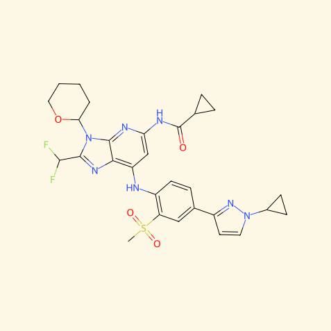 CS(=O)(=O)c1cc(-c2ccn(C3CC3)n2)ccc1Nc1cc(NC(=O)C2CC2)nc2c1nc(C(F)F)n2C1CCCCO1